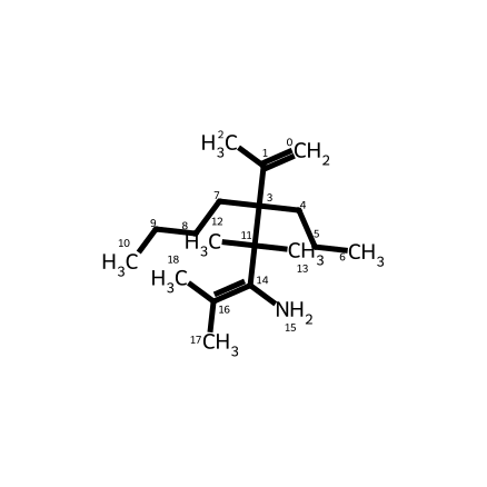 C=C(C)C(CCC)(CCCC)C(C)(C)C(N)=C(C)C